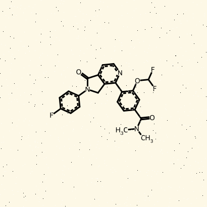 CN(C)C(=O)c1ccc(-c2nccc3c2CN(c2ccc(F)cc2)C3=O)c(OC(F)F)c1